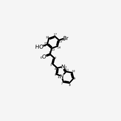 O=C(C=Cc1cn2ccccc2n1)c1cc(Br)ccc1O